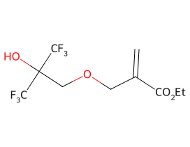 C=C(COCC(O)(C(F)(F)F)C(F)(F)F)C(=O)OCC